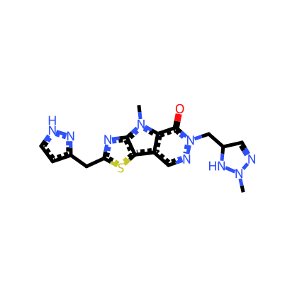 CN1N=CC(Cn2ncc3c4sc(Cc5cc[nH]n5)nc4n(C)c3c2=O)N1